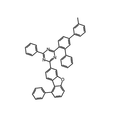 Cc1cccc(-c2ccc(-c3nc(-c4ccccc4)nc(-c4ccc5c(c4)oc4cccc(-c6ccccc6)c45)n3)c(-c3ccccc3)c2)c1